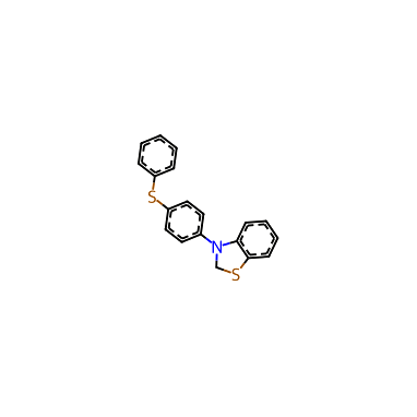 c1ccc(Sc2ccc(N3CSc4ccccc43)cc2)cc1